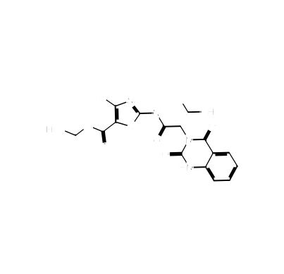 CCOC(=O)c1sc(NC(=O)[C@H](C(C)C)n2c(=O)[nH]c3ccccc3c2=O)nc1C